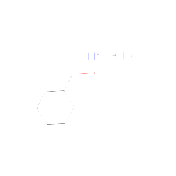 O=CNOCC1CCCCC1